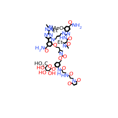 CCc1nc(C)oc1C(=O)Nc1nc2cc(C(N)=O)cc(OC)c2n1C/C=C/Cn1c2nc(-c3nc(C)nn3CC)ncc2c2cc(C(N)=O)cc(OCCC3CN(C(=O)OCc4ccc(O[C@@H]5O[C@H](C(=O)O)[C@@H](O)[C@H](O)[C@H]5O)c(NC(=O)CCNC(=O)CCN5C(=O)C=CC5=O)c4)C3)c21